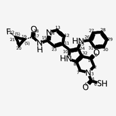 O=C1CN(C(=O)S)Cc2[nH]c(-c3ccnc(NC(=O)[C@@H]4C[C@@H]4F)c3)c(Nc3ccccc3)c21